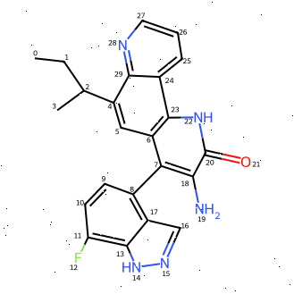 CCC(C)c1cc2c(-c3ccc(F)c4[nH]ncc34)c(N)c(=O)[nH]c2c2cccnc12